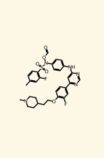 Cc1ccc(S(=O)(=O)N(OC=O)c2ccc(Nc3cc(-c4ccc(OCCC5CCN(C)CC5)c(F)c4)ncn3)cc2)c(F)c1